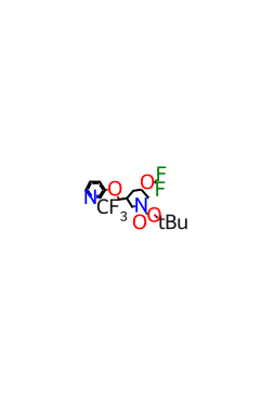 CC(C)(C)OC(=O)N1CC(COc2cccnc2C(F)(F)F)CC(OC(F)F)C1